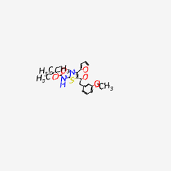 COc1cccc(CC(=O)c2sc(NC(=O)OC(C)(C)C)nc2-c2ccco2)c1